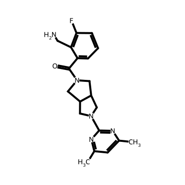 Cc1cc(C)nc(N2CC3CN(C(=O)c4cccc(F)c4CN)CC3C2)n1